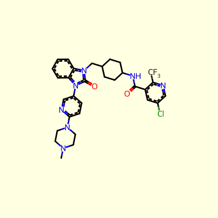 CN1CCN(c2ccc(-n3c(=O)n(CC4CCC(NC(=O)c5cc(Cl)cnc5C(F)(F)F)CC4)c4ccccc43)cn2)CC1